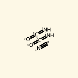 C#N.N=C=O.N=C=O